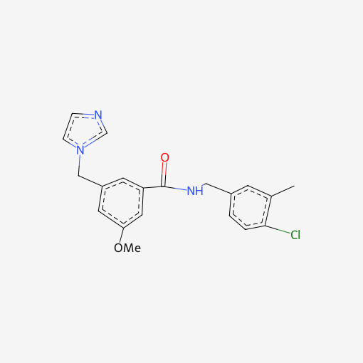 COc1cc(Cn2ccnc2)cc(C(=O)NCc2ccc(Cl)c(C)c2)c1